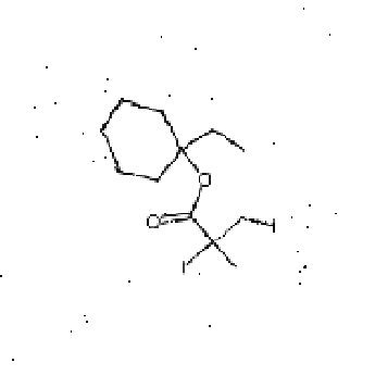 CCC1(OC(=O)C(C)(I)CI)CCCCC1